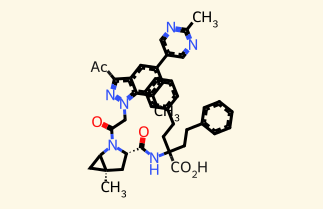 CC(=O)c1nn(CC(=O)N2C3C[C@]3(C)C[C@H]2C(=O)NC(CCc2ccccc2)(CCc2ccccc2)C(=O)O)c2c(C)cc(-c3cnc(C)nc3)cc12